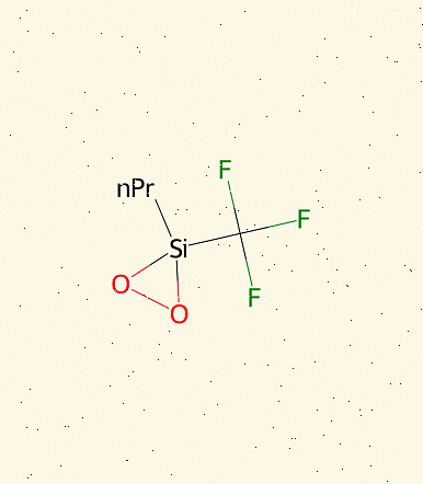 CCC[Si]1(C(F)(F)F)OO1